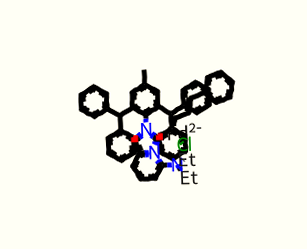 CCN(CC)c1cccc2cn(-c3c(C(c4ccccc4)c4ccccc4)cc(C)cc3C(c3ccccc3)c3ccccc3)[c](=[Pd-2]([Cl])[CH2]C=Cc3ccccc3)n12